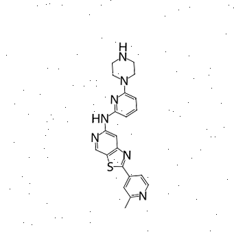 Cc1cc(-c2nc3cc(Nc4cccc(N5CCNCC5)n4)ncc3s2)ccn1